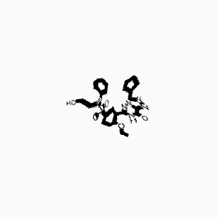 CCOc1ccc(S(=O)(=O)N(CCO)c2ccccc2)cc1-c1nn2c(C3CCCC3)nnc2c(=O)[nH]1